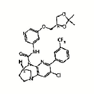 CC1(C)OC[C@H](COc2cncc(NC(=O)N3c4nc(-c5cccc(C(F)(F)F)c5)c(Cl)cc4N4CC[C@H]3C4)c2)O1